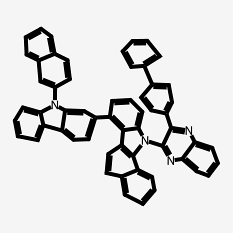 c1ccc(-c2ccc(-c3nc4ccccc4nc3-n3c4cccc(-c5ccc6c7ccccc7n(-c7ccc8ccccc8c7)c6c5)c4c4ccc5ccccc5c43)cc2)cc1